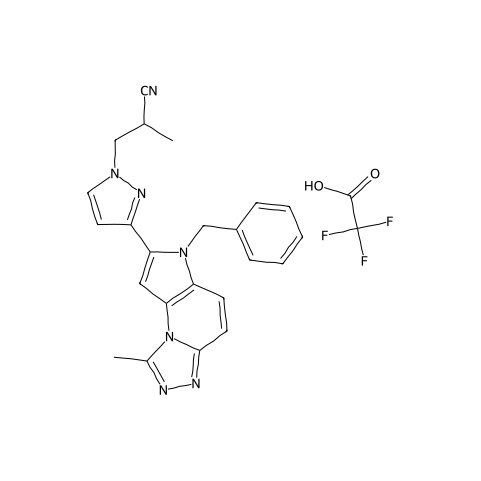 Cc1nnc2ccc3c(cc(-c4ccn(CC(C)C#N)n4)n3Cc3ccccc3)n12.O=C(O)C(F)(F)F